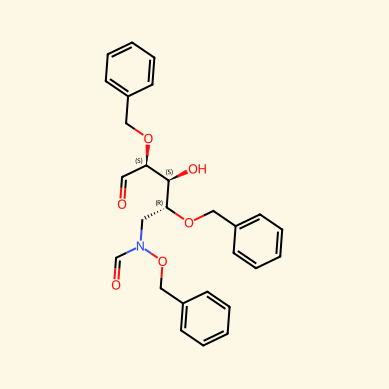 O=C[C@@H](OCc1ccccc1)[C@@H](O)[C@@H](CN(C=O)OCc1ccccc1)OCc1ccccc1